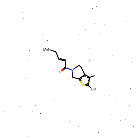 CNC/C=C/C(=O)N1CCc2c(sc(C#N)c2C)C1